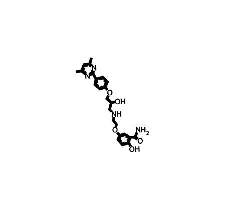 Cc1cc(C)nc(-c2ccc(OCC(O)CNCCOc3ccc(O)c(C(N)=O)c3)cc2)n1